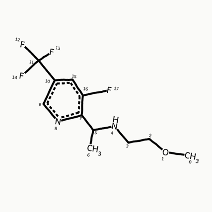 COCCNC(C)c1ncc(C(F)(F)F)cc1F